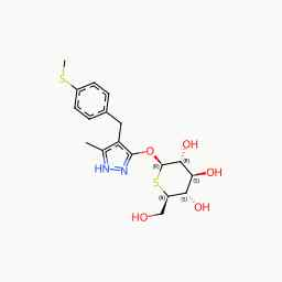 CSc1ccc(Cc2c(O[C@@H]3S[C@H](CO)[C@@H](O)[C@H](O)[C@H]3O)n[nH]c2C)cc1